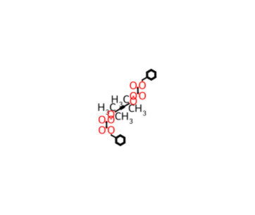 CC(C)(C#CC(C)(C)OOC(=O)C(=O)OCc1ccccc1)OOC(=O)C(=O)OCc1ccccc1